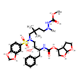 CC(=O)N(CCC(C)(C)CN(C[C@@H](O)[C@H](Cc1ccccc1)NC(=O)OC1COC2OCCC12)S(=O)(=O)c1ccc2c(c1)OCO2)NC(=O)OC(C)(C)C